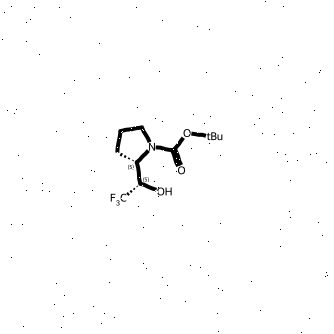 CC(C)(C)OC(=O)N1CCC[C@H]1[C@H](O)C(F)(F)F